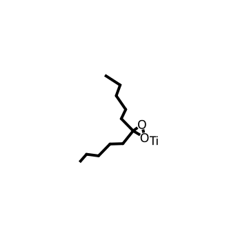 CCCCCC1(CCCCC)OO1.[Ti]